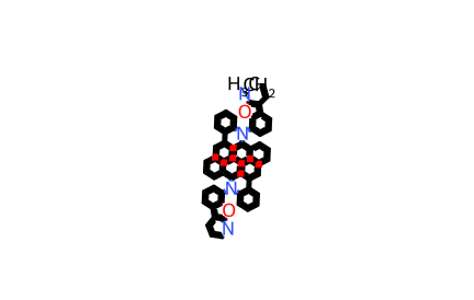 C=Nc1oc2c(N(c3ccccc3-c3ccccc3)c3cc4c5ccccc5c(N(c5ccccc5-c5ccccc5)c5cccc6c5oc5ncccc56)cc4c4ccccc34)cccc2c1/C=C\C